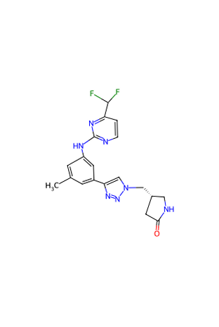 Cc1cc(Nc2nccc(C(F)F)n2)cc(-c2cn(C[C@@H]3CNC(=O)C3)nn2)c1